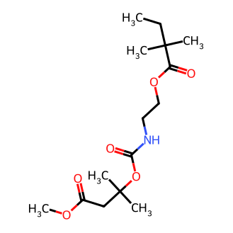 CCC(C)(C)C(=O)OCCNC(=O)OC(C)(C)CC(=O)OC